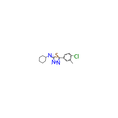 Cc1cc(-c2nn(C)/c(=N\C3CCCCC3)s2)ccc1Cl